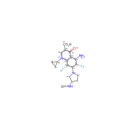 CCNC1CCN(c2c(F)c(N)c3c(=O)c(C(=O)O)cn(C4CC4)c3c2F)C1